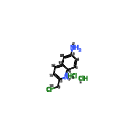 Cl.Cl.Nc1ccc2nc(CCl)ccc2c1